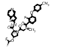 C=[N+](CC(=O)N1C[C@H](OC(F)F)C[C@H]1C(=O)Nc1cc2cnccc2s1)C(=O)c1cccc(Oc2ccc(C)cc2)c1F